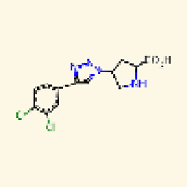 O=C(O)[C@@H]1C[C@H](n2cc(-c3ccc(Cl)c(Cl)c3)nn2)CN1